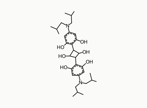 CC(C)CN(CC(C)C)c1cc(O)c(C2C(O)C(c3c(O)cc(N(CC(C)C)CC(C)C)cc3O)C2O)c(O)c1